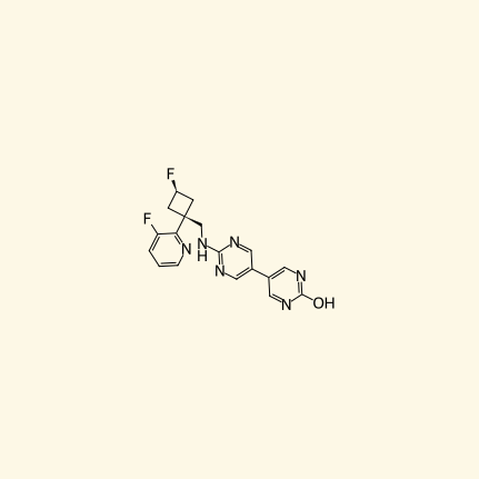 Oc1ncc(-c2cnc(NC[C@]3(c4ncccc4F)C[C@H](F)C3)nc2)cn1